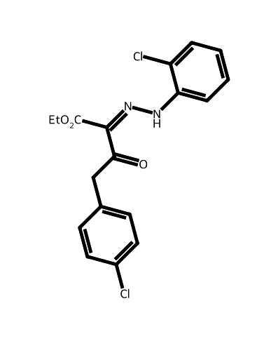 CCOC(=O)/C(=N/Nc1ccccc1Cl)C(=O)Cc1ccc(Cl)cc1